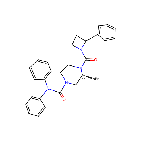 CCC[C@H]1CN(C(=O)N(c2ccccc2)c2ccccc2)CCN1C(=O)N1CCC1c1ccccc1